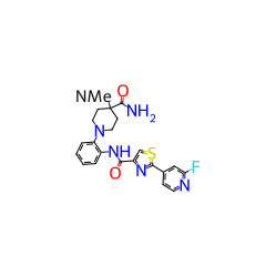 CNC1(C(N)=O)CCN(c2ccccc2NC(=O)c2csc(-c3ccnc(F)c3)n2)CC1